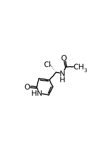 CC(=O)N[C@@H](Cl)c1cc[nH]c(=O)c1